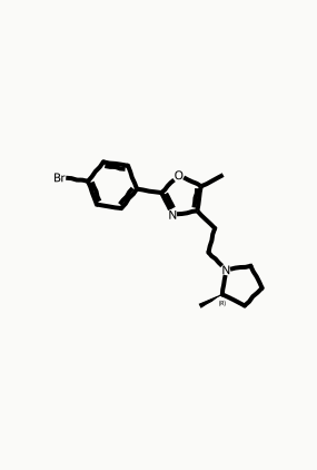 Cc1oc(-c2ccc(Br)cc2)nc1CCN1CCC[C@H]1C